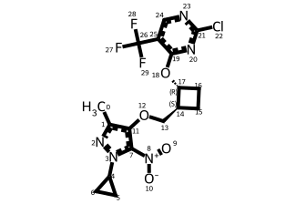 Cc1nn(C2CC2)c([N+](=O)[O-])c1OC[C@@H]1CC[C@H]1Oc1nc(Cl)ncc1C(F)(F)F